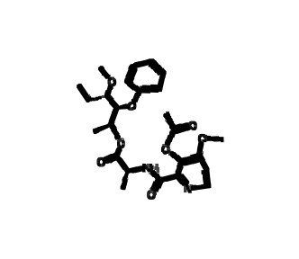 CC[C@H](OC)[C@@H](Oc1ccccc1)[C@H](C)OC(=O)[C@H](C)NC(=O)c1nccc(OC)c1OC(C)=O